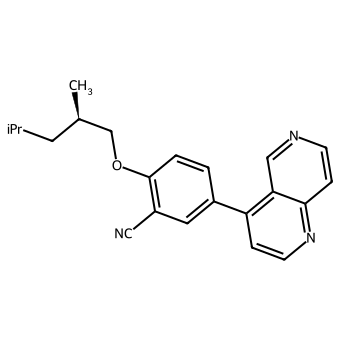 CC(C)C[C@@H](C)COc1ccc(-c2ccnc3ccncc23)cc1C#N